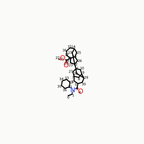 CCN(C(=O)C1CC2CC3CC(C45CC6CCCC(C(=O)OC)(C4)C(C6)C5)(C2)CC3C1)C1CCCCC1